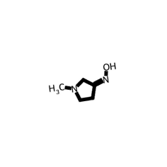 CN1CC/C(=N/O)C1